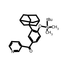 CC(C)(C)[Si](C)(C)Oc1ccc(C(=O)c2cccnc2)cc1C12CC3CC(CC(C3)C1)C2